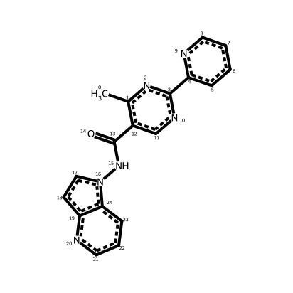 Cc1nc(-c2ccccn2)ncc1C(=O)Nn1ccc2ncccc21